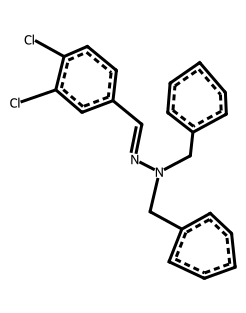 Clc1ccc(C=NN(Cc2ccccc2)Cc2ccccc2)cc1Cl